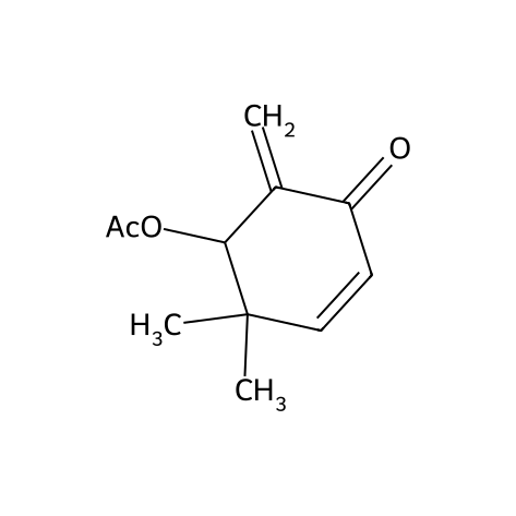 C=C1C(=O)C=CC(C)(C)C1OC(C)=O